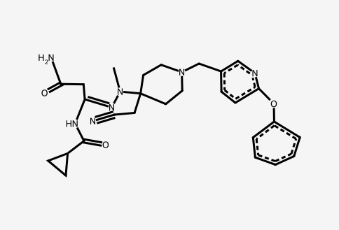 CN(/N=C(\CC(N)=O)NC(=O)C1CC1)C1(CC#N)CCN(Cc2ccc(Oc3ccccc3)nc2)CC1